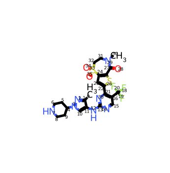 Cc1nn(C2CCNCC2)cc1Nc1ncc(C(F)(F)F)c(-c2cc3c(s2)C(=O)N(C)CCS3(=O)=O)n1